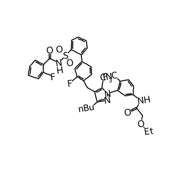 CCCCc1nn(-c2cc(NC(=O)COCC)ccc2C(F)(F)F)c(C#N)c1Cc1ccc(-c2ccccc2S(=O)(=O)NC(=O)c2ccccc2F)cc1F